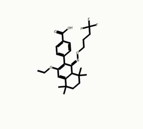 CCOC1=C(c2ccc(C(=O)O)cc2)C(=NOCCCC(F)(F)F)C2C(=C1)C(C)(C)CCC2(C)C